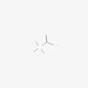 CCCCCCCCCC(CCCCCCCC)[P+](CCCCCCCC)(CCCCCCCC)CCCCCCCC.[I-]